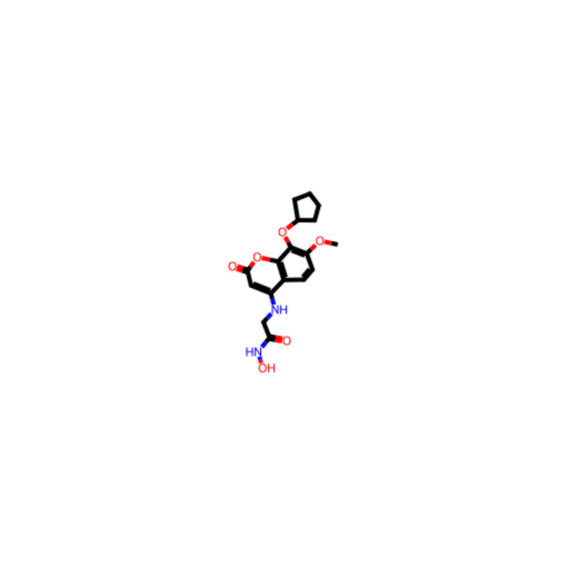 COc1ccc2c(NCC(=O)NO)cc(=O)oc2c1OC1CCCC1